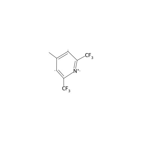 CC1=[C]C(C(F)(F)F)=[N+]C(C(F)(F)F)=[C]1